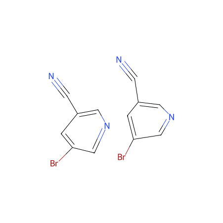 N#Cc1cncc(Br)c1.N#Cc1cncc(Br)c1